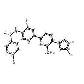 COc1nc(-c2cc(F)c(N[C@@H](C)c3ccc(F)cc3)nn2)ccc1-n1cnc(C)c1